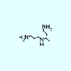 CC(CCN)NCCCN